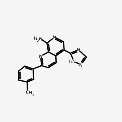 Cc1cccc(-c2ccc3c(-c4ncn[nH]4)cnc(N)c3n2)c1